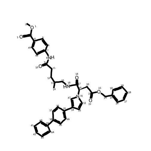 COC(=O)c1ccc(NC(=O)CCC(C)CNC(=O)[C@@H](CC(=O)OCc2ccccc2)n2ccc(-c3ccc(-c4ccccc4)cc3)c2)cc1